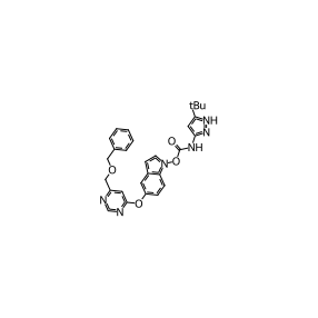 CC(C)(C)c1cc(NC(=O)On2ccc3cc(Oc4cc(COCc5ccccc5)ncn4)ccc32)n[nH]1